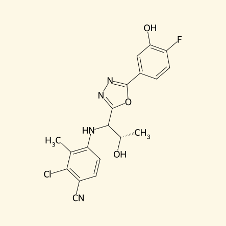 Cc1c(NC(c2nnc(-c3ccc(F)c(O)c3)o2)[C@H](C)O)ccc(C#N)c1Cl